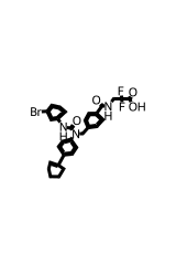 O=C(NCC(F)(F)C(=O)O)c1ccc(CN(C(=O)Nc2cccc(Br)c2)c2ccc(C3=CCCCC3)cc2)cc1